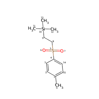 Cc1ccc(S(=O)(=O)CC[Si](C)(C)C)cc1